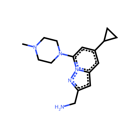 CN1CCN(c2cc(C3CC3)cc3cc(CN)nn23)CC1